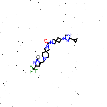 Cn1nc(C(F)(F)F)cc1CN1CCC2(CC1)CN(C(=O)N1CC3(CC(n4cnc(C5CC5)n4)C3)C1)C2